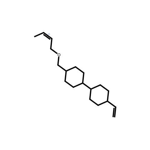 C=CC1CCC(C2CCC(COC/C=C\C)CC2)CC1